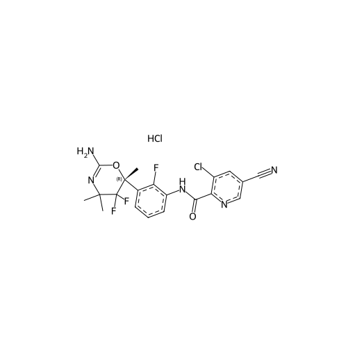 CC1(C)N=C(N)O[C@](C)(c2cccc(NC(=O)c3ncc(C#N)cc3Cl)c2F)C1(F)F.Cl